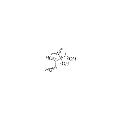 CN(C)C(O)(CO)C(O)CO